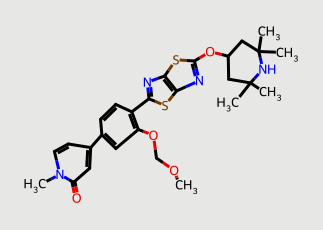 COCOc1cc(-c2ccn(C)c(=O)c2)ccc1-c1nc2sc(OC3CC(C)(C)NC(C)(C)C3)nc2s1